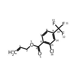 C=CCOC(=O)c1ccc(C(F)(F)F)cc1Cl